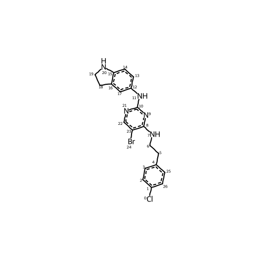 Clc1ccc(CCNc2nc(Nc3ccc4c(c3)CCN4)ncc2Br)cc1